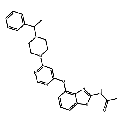 CC(=O)Nc1nc2c(Oc3cc(N4CCN(C(C)c5ccccc5)CC4)ncn3)cccc2s1